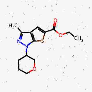 CCOC(=O)c1cc2c(C)nn(C3CCCOC3)c2s1